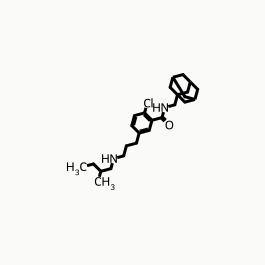 CCC(C)CNCCCc1ccc(Cl)c(C(=O)NCC23CC4CC(CC(C4)C2)C3)c1